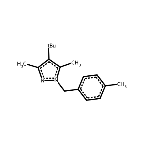 Cc1ccc(Cn2nc(C)c(C(C)(C)C)c2C)cc1